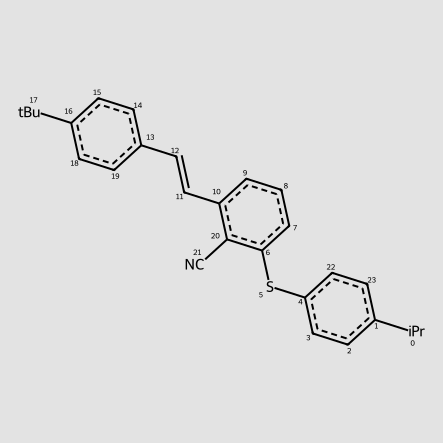 CC(C)c1ccc(Sc2cccc(/C=C/c3ccc(C(C)(C)C)cc3)c2C#N)cc1